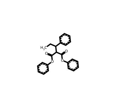 CCC(c1ccccc1)C(C(=O)Oc1ccccc1)C(=O)Oc1ccccc1